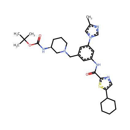 Cc1cn(-c2cc(CN3CCC[C@H](NC(=O)OC(C)(C)C)C3)cc(NC(=O)c3ncc(C4CCCCC4)s3)c2)cn1